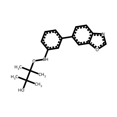 CC(C)(O)C(C)(C)OBc1cccc(-c2ccc3ncoc3c2)c1